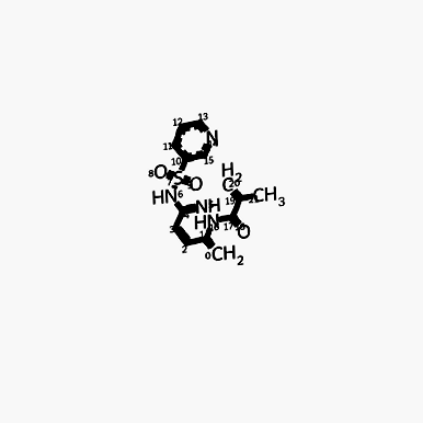 C=C(/C=C\C(=N)NS(=O)(=O)c1cccnc1)NC(=O)C(=C)C